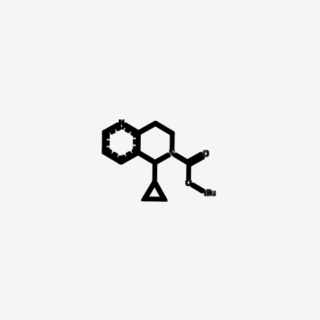 CC(C)(C)OC(=O)N1CCc2ncccc2C1C1CC1